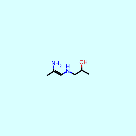 CC(N)=CNCC(C)O